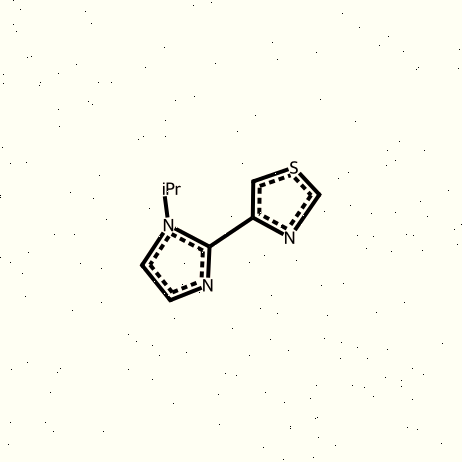 CC(C)n1ccnc1-c1cscn1